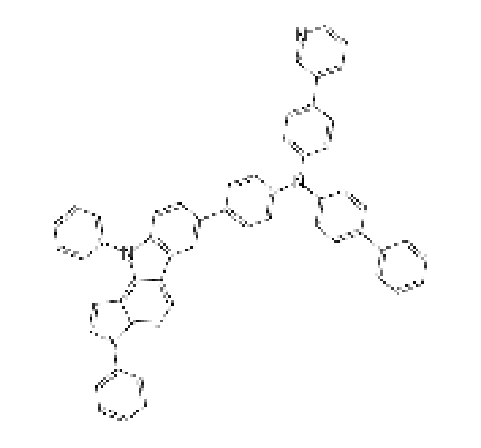 c1ccc(-c2ccc(N(c3ccc(-c4cccnc4)cc3)c3ccc(-c4ccc5c(c4)c4ccc6c(ccn6-c6ccccc6)c4n5-c4ccccc4)cc3)cc2)cc1